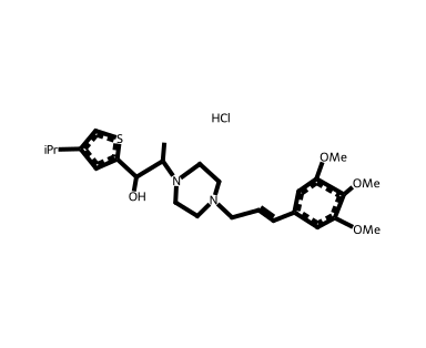 COc1cc(C=CCN2CCN(C(C)C(O)c3cc(C(C)C)cs3)CC2)cc(OC)c1OC.Cl